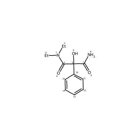 CCN(CC)C(=O)C(O)(C(N)=O)c1ccccc1